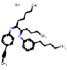 CC#Cc1ccc(N=C(CCCCC)C(CCCC)=Nc2cccc(CCCCC)c2)cc1.[Pd]